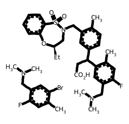 CC[C@@H]1CN(Cc2cc(C(CC(=O)O)c3cc(CN(C)C)c(F)cc3C)ccc2C)S(=O)(=O)c2ccccc2O1.Cc1cc(F)c(CN(C)C)cc1Br